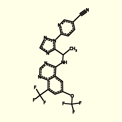 CC(Nc1ncnc2c(C(F)(F)F)cc(OC(F)(F)F)cc12)c1ncnn1-c1ccc(C#N)cn1